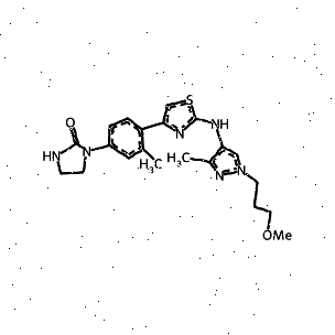 COCCCn1cc(Nc2nc(-c3ccc(N4CCNC4=O)cc3C)cs2)c(C)n1